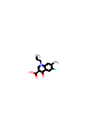 C=CCn1cc(C(=O)O)c(=O)c2cc(F)c(C)cc21